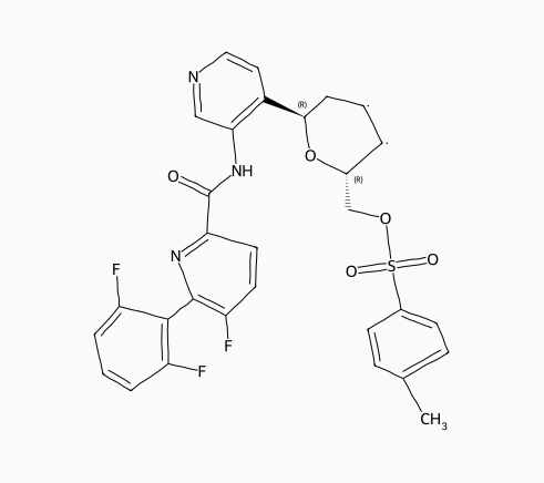 Cc1ccc(S(=O)(=O)OC[C@H]2[CH][CH]C[C@H](c3ccncc3NC(=O)c3ccc(F)c(-c4c(F)cccc4F)n3)O2)cc1